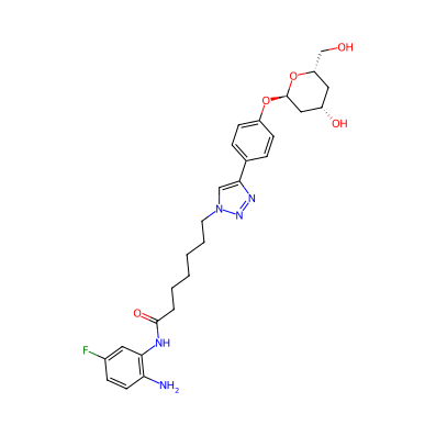 Nc1ccc(F)cc1NC(=O)CCCCCCn1cc(-c2ccc(O[C@@H]3C[C@@H](O)C[C@@H](CO)O3)cc2)nn1